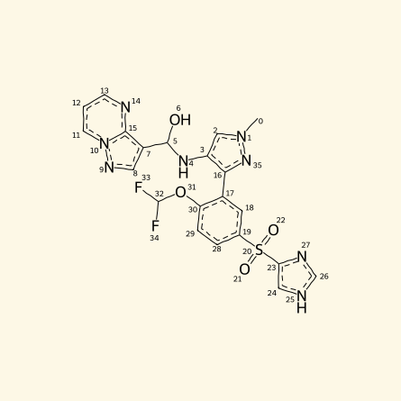 Cn1cc(NC(O)c2cnn3cccnc23)c(-c2cc(S(=O)(=O)c3c[nH]cn3)ccc2OC(F)F)n1